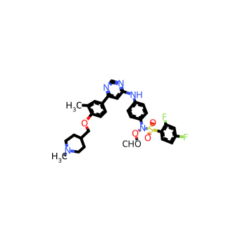 Cc1cc(-c2cc(Nc3ccc(N(OC=O)S(=O)(=O)c4ccc(F)cc4F)cc3)ncn2)ccc1OCC1CCN(C)CC1